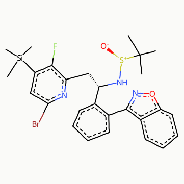 CC(C)(C)[S@+]([O-])N[C@@H](Cc1nc(Br)cc([Si](C)(C)C)c1F)c1ccccc1-c1noc2ccccc12